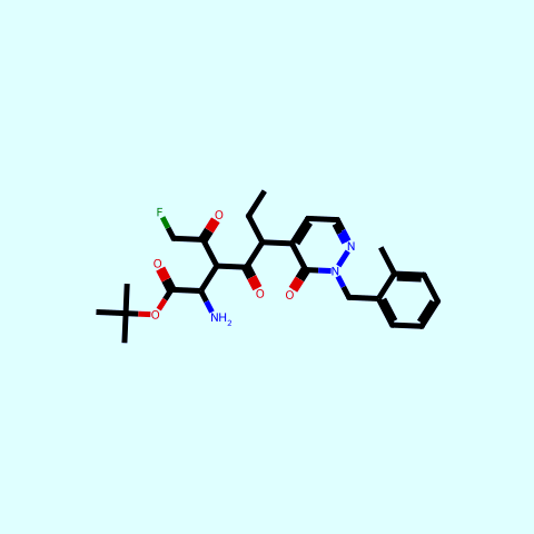 CCC(C(=O)C(C(=O)CF)C(N)C(=O)OC(C)(C)C)c1ccnn(Cc2ccccc2C)c1=O